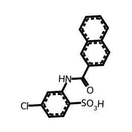 O=C(Nc1cc(Cl)ccc1S(=O)(=O)O)c1ccc2ccccc2c1